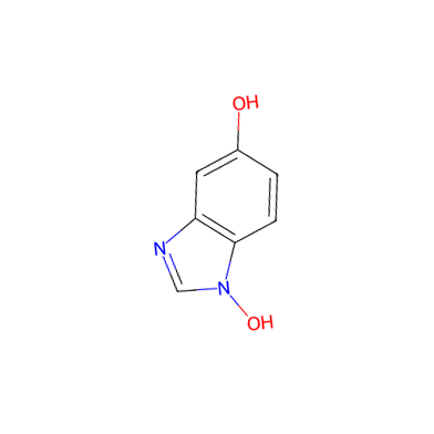 Oc1ccc2c(c1)ncn2O